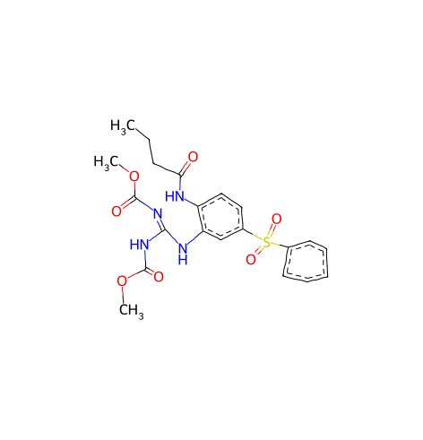 CCCC(=O)Nc1ccc(S(=O)(=O)c2ccccc2)cc1NC(=NC(=O)OC)NC(=O)OC